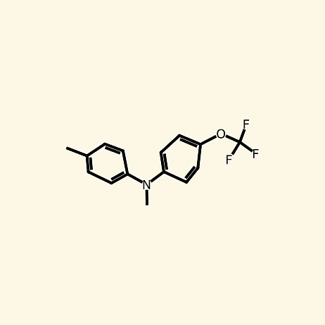 Cc1ccc(N(C)c2ccc(OC(F)(F)F)cc2)cc1